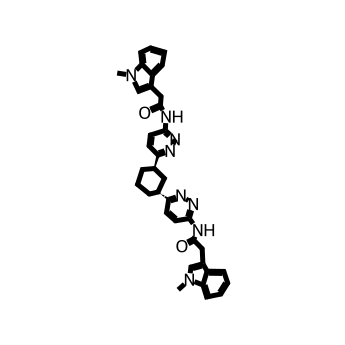 Cn1cc(CC(=O)Nc2ccc([C@@H]3CCC[C@@H](c4ccc(NC(=O)Cc5cn(C)c6ccccc56)nn4)C3)nn2)c2ccccc21